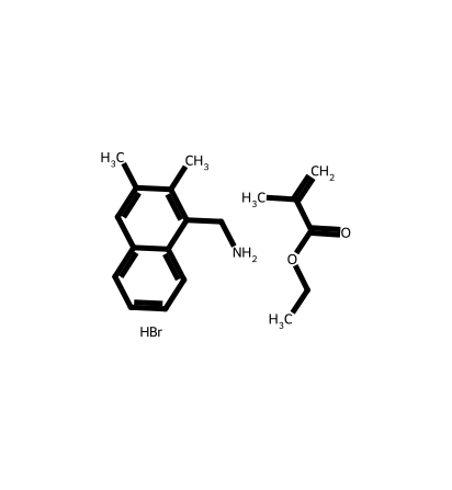 Br.C=C(C)C(=O)OCC.Cc1cc2ccccc2c(CN)c1C